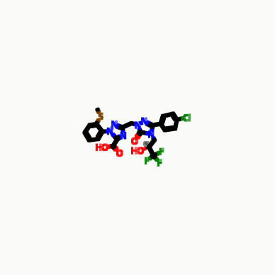 CSc1ccccc1-n1nc(Cn2nc(-c3ccc(Cl)cc3)n(C[C@H](O)C(F)(F)F)c2=O)nc1C(=O)O